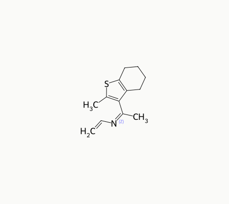 C=C/N=C(/C)c1c(C)sc2c1CCCC2